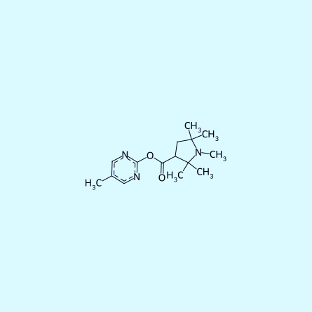 Cc1cnc(OC(=O)C2CC(C)(C)N(C)C2(C)C)nc1